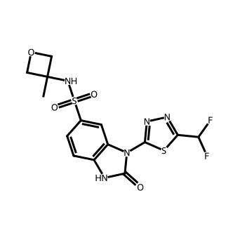 CC1(NS(=O)(=O)c2ccc3[nH]c(=O)n(-c4nnc(C(F)F)s4)c3c2)COC1